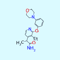 CCc1c(C(C)C(N)=O)ccnc1Oc1cccc(N2CCOCC2)c1